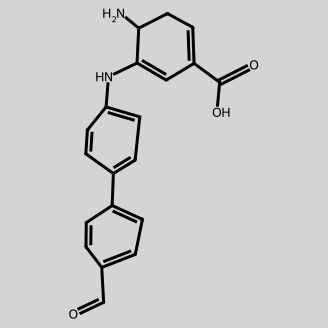 NC1CC=C(C(=O)O)C=C1Nc1ccc(-c2ccc(C=O)cc2)cc1